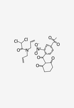 C=CCN(CC=C)C(=O)C(Cl)Cl.CS(=O)(=O)c1ccc(C(=O)C2C(=O)CCCC2=O)c([N+](=O)[O-])c1